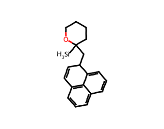 [SiH3]C1(CC2C=Cc3cccc4cccc2c34)CCCCO1